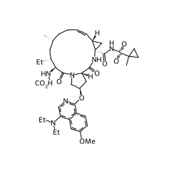 CC[C@@H]1C[C@H](C)CCC=C[C@@H]2C[C@@]2(C(=O)NS(=O)(=O)C2(C)CC2)NC(=O)[C@@H]2C[C@@H](Oc3ncc(N(CC)CC)c4cc(OC)ccc34)CN2C(=O)[C@H]1NC(=O)O